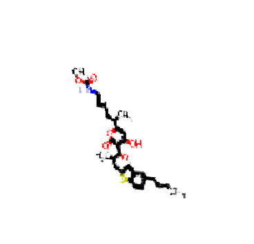 CCCCc1ccc2sc(CC(C)C(=O)c3c(O)cc(C(C)CC/C=C/NC(=O)OC)oc3=O)cc2c1